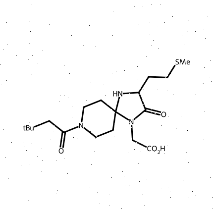 CSCCC1NC2(CCN(C(=O)CC(C)(C)C)CC2)N(CC(=O)O)C1=O